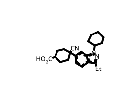 CCc1nn(C2CCCCC2)c2cc(C3(C#N)CCC(C(=O)O)CC3)ccc12